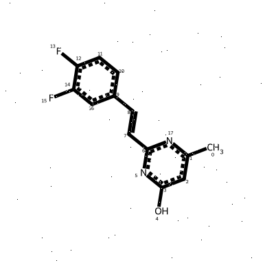 Cc1cc(O)nc(C=Cc2ccc(F)c(F)c2)n1